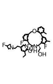 CCc1cc(CCN2CC(F)C2)cn([C@@H]2C(=O)N[C@H](CCO)c3cc(cc(C)c3F)-c3c(C)cccc3OCc3ccc(F)c2c3)c1=O